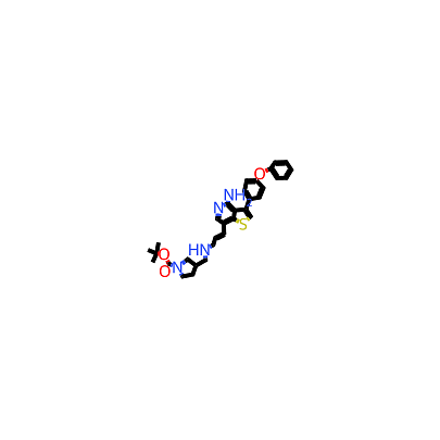 CC(C)(C)OC(=O)N1CCC(CNCC=Cc2cnc(N)c3c(-c4ccc(Oc5ccccc5)cc4)csc23)C1